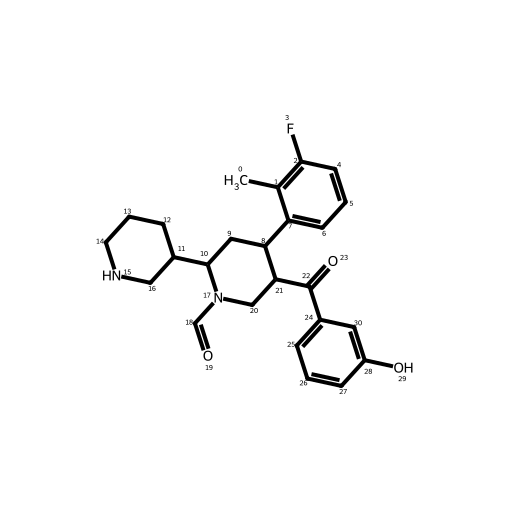 Cc1c(F)cccc1C1CC(C2CCCNC2)N(C=O)CC1C(=O)c1cccc(O)c1